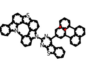 c1ccc(-c2cccc3cccc(-c4cccc(-c5nc(-n6c7ccc8sc9ccc%10c%11ccccc%11n%11c%12cccc6c%12c7c8c9c%10%11)nc6sc7ccccc7c56)c4)c23)cc1